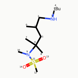 CC(CNC(C)(C)C)CC(C)(C)N(C)S(C)(=O)=O